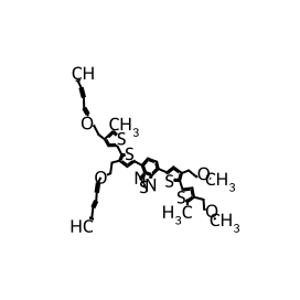 C#CC#CC#COCCc1cc(-c2sc(-c3ccc(-c4cc(CCOC)c(-c5cc(CCOC)c(C)s5)s4)c4nsnc34)cc2CCOC#CC#CC#C)sc1C